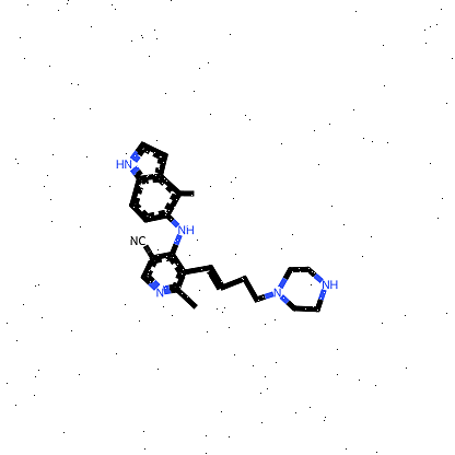 Cc1ncc(C#N)c(Nc2ccc3[nH]ccc3c2C)c1C=CCCN1CCNCC1